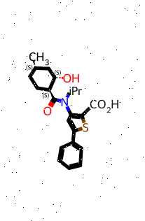 CC(C)N(C(=O)[C@H]1CC[C@H](C)C[C@@H]1O)c1cc(-c2ccccc2)sc1C(=O)O